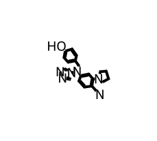 N#Cc1ccc(N(Cc2ccc(O)cc2)n2cnnc2)cc1N1CCCC1